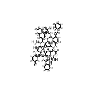 CC(=O)N(C(=O)[C@H](CO)NC(=O)[C@@H](Cc1c[nH]c2ccccc12)NC(=O)[C@H](Cc1ccc(Cl)cc1)NC(=O)[C@@H](N)Cc1ccc2ccccc2c1)[C@@H](Cc1ccc(OCc2ccccc2)cc1)C(=O)N[C@@H]([C]=O)CCCNC(=N)N